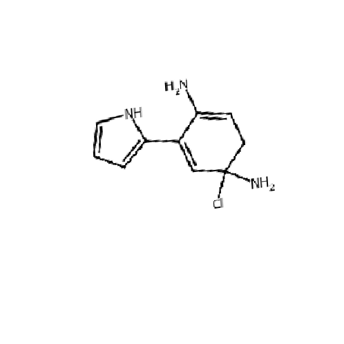 NC1=CCC(N)(Cl)C=C1c1ccc[nH]1